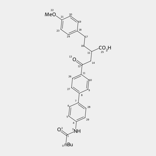 CCCCC(=O)Nc1ccc(-c2ccc(C(=O)CC(CCc3ccc(OC)cc3)C(=O)O)cc2)cc1